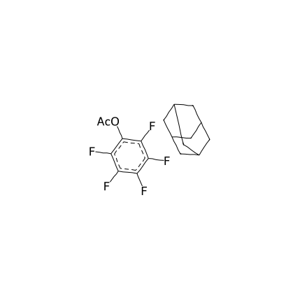 C1C2CC3CC1CC(C2)C3.CC(=O)Oc1c(F)c(F)c(F)c(F)c1F